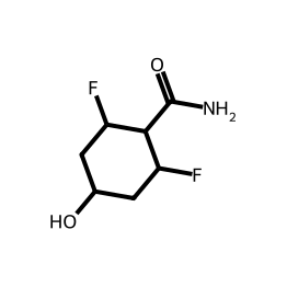 NC(=O)C1C(F)CC(O)CC1F